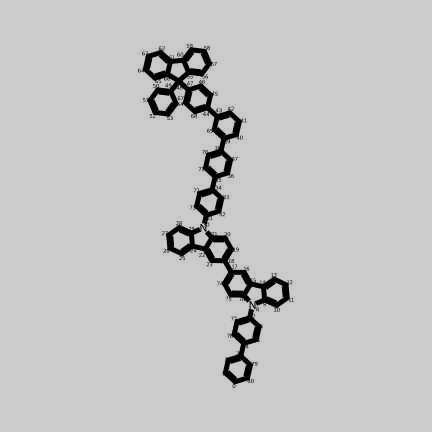 c1ccc(-c2ccc(-n3c4ccccc4c4cc(-c5ccc6c(c5)c5ccccc5n6-c5ccc(-c6ccc(-c7cccc(-c8ccc(C9(c%10ccccc%10)c%10ccccc%10-c%10ccccc%109)cc8)c7)cc6)cc5)ccc43)cc2)cc1